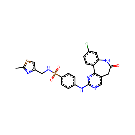 Cc1nc(CNS(=O)(=O)c2ccc(Nc3ncc4c(n3)-c3ccc(Cl)cc3NC(=O)C4)cc2)cs1